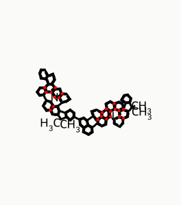 CC1(C)c2ccccc2-c2c(-c3ccccc3N(c3ccc(-c4cccc5cc(-c6ccc7c(c6)C(C)(C)c6cccc(-c8ccccc8N(c8ccc9c(ccc%10ccccc%109)c8)c8ccccc8-c8ccccc8-c8ccccc8)c6-7)cc(-c6ccccc6)c45)cc3)c3ccccc3-c3ccccc3-c3ccccc3)cccc21